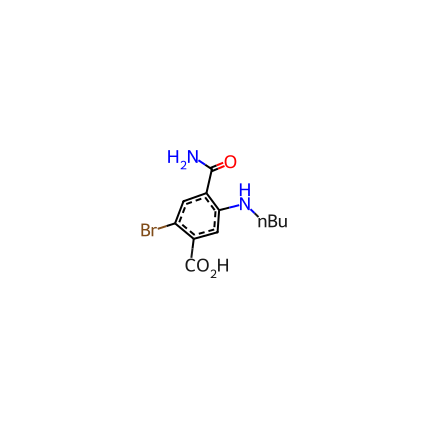 CCCCNc1cc(C(=O)O)c(Br)cc1C(N)=O